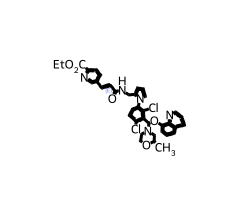 CCOC(=O)c1ccc(/C=C/C(=O)NCc2cccn2-c2ccc(Cl)c(C(Oc3cccc4cccnc34)N3CCOC(C)C3)c2Cl)cn1